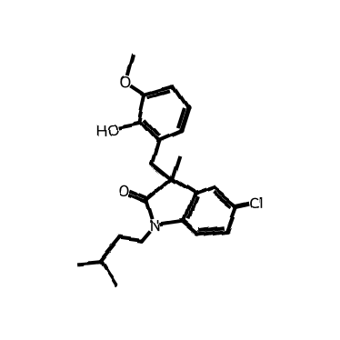 COc1cccc(CC2(C)C(=O)N(CCC(C)C)c3ccc(Cl)cc32)c1O